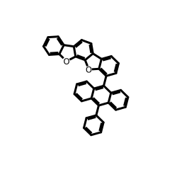 c1ccc(-c2c3ccccc3c(-c3cccc4c3oc3c4ccc4c5ccccc5oc43)c3ccccc23)cc1